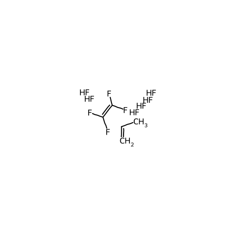 C=CC.F.F.F.F.F.F.FC(F)=C(F)F